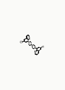 Clc1cc(N2CCC(N3CCN(c4cc(Cl)cc5cccnc45)CC3)CC2)c2ncccc2c1